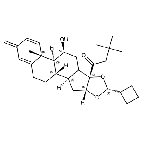 C=C1C=C[C@@]2(C)C(=C1)CC[C@@H]1[C@@H]2[C@@H](O)CC2[C@H]1C[C@H]1O[C@@H](C3CCC3)O[C@@]21C(=O)CC(C)(C)C